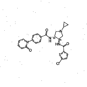 O=C(N[C@@H]1CN(C2CC2)C[C@H]1NC(=O)c1ccc(Cl)s1)c1ccc(-n2ccccc2=O)cc1